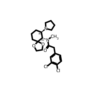 CN(C(=O)Cc1ccc(Cl)c(Cl)c1)[C@H]1[C@H](N2CCCC2)CCCC12OCCO2